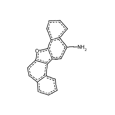 Nc1cc2c(oc3ccc4ccccc4c32)c2ccccc12